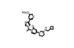 COc1cncc(-c2cn(C(C)n3ccc(N4CCC[C@@H](NCC5CCC5)C4)cc3=O)cn2)c1